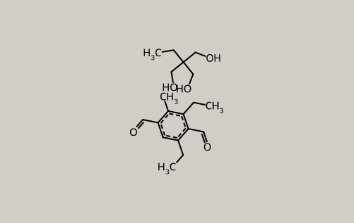 CCC(CO)(CO)CO.CCc1cc(C=O)c(C)c(CC)c1C=O